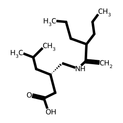 C=C(NC[C@H](CC(=O)O)CC(C)C)C(CCC)CCC